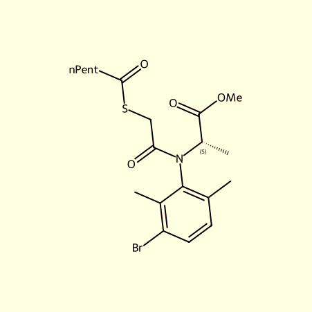 CCCCCC(=O)SCC(=O)N(c1c(C)ccc(Br)c1C)[C@@H](C)C(=O)OC